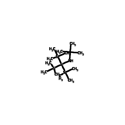 CC(C)(C)N[Si]([Si](C)(C)C)([Si](C)(C)C)[Si](C)(C)C